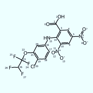 O=C(O)c1cc([N+](=O)[O-])cc([N+](=O)[O-])c1Nc1ccc(Cl)c(OC(F)(F)C(F)F)c1